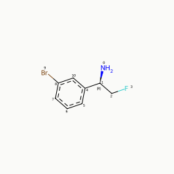 N[C@@H](CF)c1cccc(Br)c1